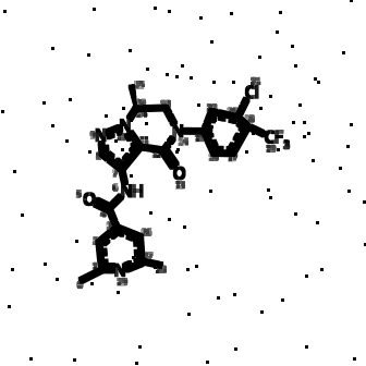 Cc1cc(C(=O)Nc2cnn3c2C(=O)N(c2ccc(C(F)(F)F)c(Cl)c2)C[C@@H]3C)cc(C)n1